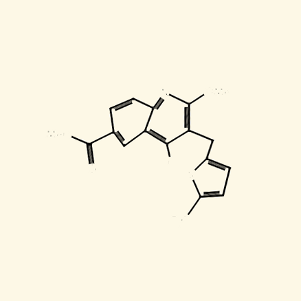 COC(=O)c1ccc2nc(OC)c(Cc3ccc(C(F)(F)F)s3)c(Cl)c2c1